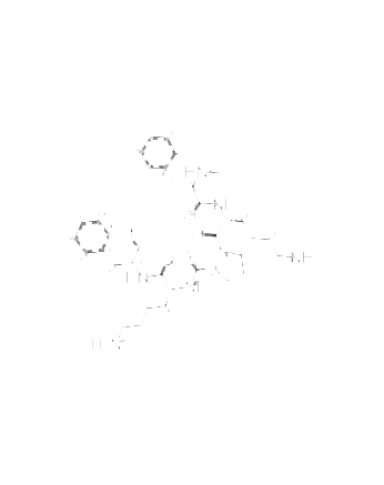 CN[C@@H](Cc1ccccc1)C(=O)N[C@@H](CCCCN)C(=O)N1CCC[C@H]1C(=O)N[C@@H](CCCCN)C(=O)N[C@H]([C]=O)Cc1ccccc1